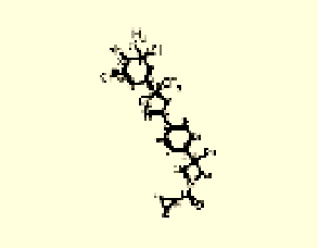 CC1(Cl)C=C(C2(C(F)(F)F)CC(c3ccc(C4(F)CN(C(=O)C5CC5)C4)cc3)=NO2)C=C(Cl)C1F